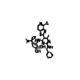 Cc1nc(NCc2ccccc2)nc(N[C@H]2[C@H](O)[C@H](O)C[C@H]2C(=O)N(C)C)c1-c1nc2c(C3CC3)nccc2s1